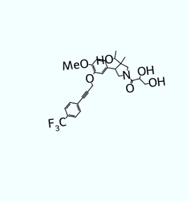 COc1ccc(C2CN(C(=O)C(O)CO)CC2(C)C(C)O)cc1OCC#Cc1ccc(C(F)(F)F)cc1